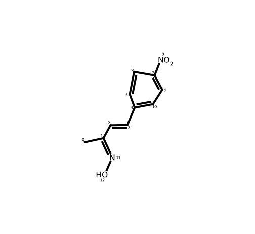 CC(C=Cc1ccc([N+](=O)[O-])cc1)=NO